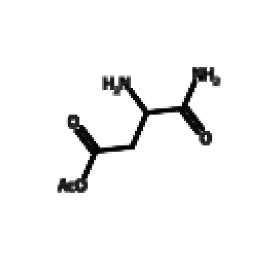 CC(=O)OC(=O)CC(N)C(N)=O